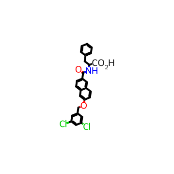 O=C(NC(Cc1ccccc1)C(=O)O)c1ccc2cc(OCc3cc(Cl)cc(Cl)c3)ccc2c1